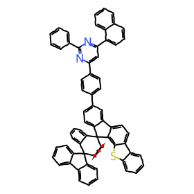 c1ccc(-c2nc(-c3ccc(-c4ccc5c(c4)-c4ccc6c(sc7ccccc76)c4C54c5ccccc5C5(c6ccccc6-c6ccccc65)c5ccccc54)cc3)cc(-c3cccc4ccccc34)n2)cc1